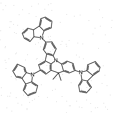 CC1(C)c2cc(-n3c4ccccc4c4ccccc43)ccc2-n2c3ccc(N4c5ccccc5C5C=CC=CC54)cc3c3cc(-n4c5ccccc5c5ccccc54)cc1c32